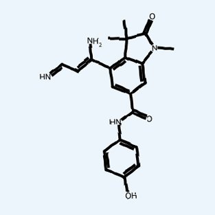 CN1C(=O)C(C)(C)c2c(/C(N)=C/C=N)cc(C(=O)Nc3ccc(O)cc3)cc21